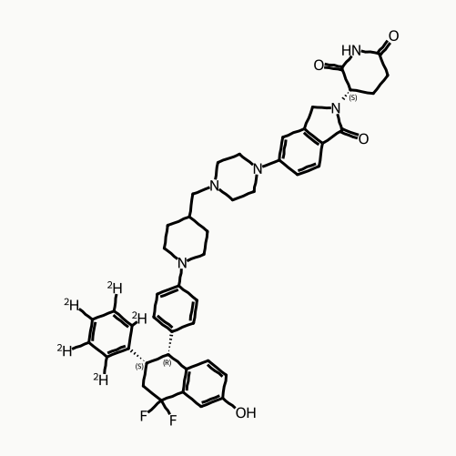 [2H]c1c([2H])c([2H])c([C@H]2CC(F)(F)c3cc(O)ccc3[C@H]2c2ccc(N3CCC(CN4CCN(c5ccc6c(c5)CN([C@H]5CCC(=O)NC5=O)C6=O)CC4)CC3)cc2)c([2H])c1[2H]